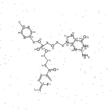 C=C(/C=C\C(F)=C/C)C(=O)SCCOP(=O)(COCCn1cnc2c(=O)[nH]c(N)nc21)OCc1ccc(C)cc1